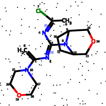 C=C(/N=C(\N=C(/C)Cl)N1C2CCC1COC2)N1CCOCC1